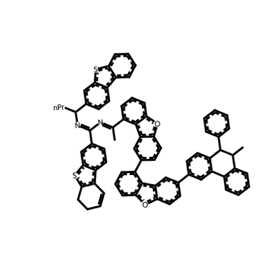 CCCC(/N=C(\N=C(/C)c1cccc2oc3ccc(-c4cccc5oc6ccc(-c7ccc8c(c7)-c7ccccc7C(C)C8c7ccccc7)cc6c45)cc3c12)c1ccc2c3c(sc2c1)CCC=C3)c1ccc2c(c1)sc1ccccc12